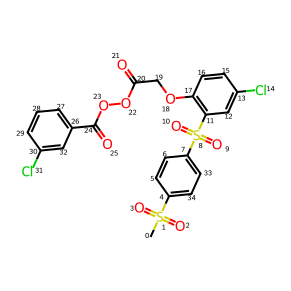 CS(=O)(=O)c1ccc(S(=O)(=O)c2cc(Cl)ccc2OCC(=O)OOC(=O)c2cccc(Cl)c2)cc1